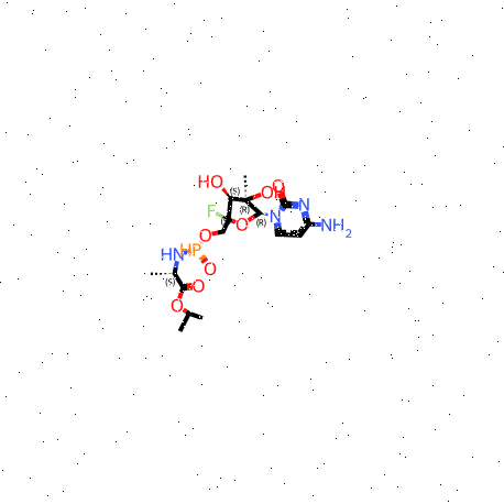 CC(C)OC(=O)[C@H](C)N[PH](=O)OC[C@@]1(F)O[C@@H](n2ccc(N)nc2=O)[C@](C)(O)[C@@H]1O